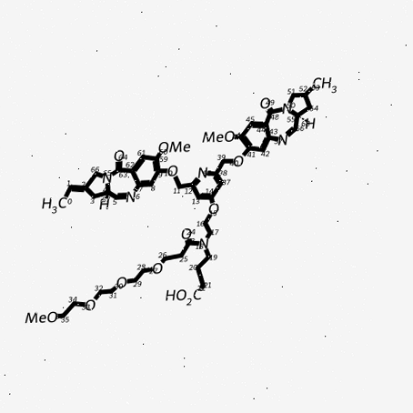 C/C=C1\C[C@H]2C=Nc3cc(OCc4cc(OCCN(CCCC(=O)O)C(=O)CCOCCOCCOCCOC)cc(COc5cc6c(cc5OC)C(=O)N5CC(C)C[C@H]5C=N6)n4)c(OC)cc3C(=O)N2C1